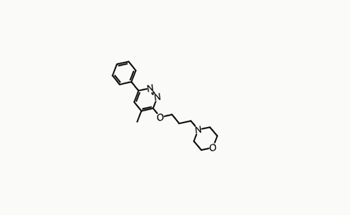 Cc1cc(-c2ccccc2)nnc1OCCCN1CCOCC1